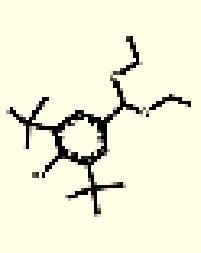 CCOC(OCC)c1cc(C(C)(C)C)c(O)c(C(C)(C)C)c1